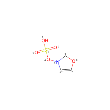 O=S(=O)(O)ON1C=COC1